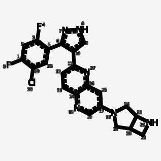 Fc1cc(F)c(-c2n[nH]cc2-c2ccc3ncc(N4CC5CNC5C4)cc3n2)cc1Cl